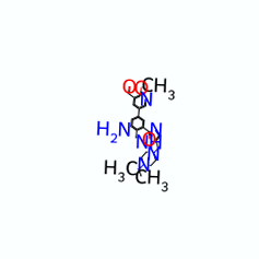 COc1ncc(-c2cc(N)c(C=N)c(-c3ncc(CN4CCN(C(C)C)CC4)o3)c2)cc1C=O